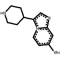 CC(C)(C)c1ccn2c(C3CCNCC3)cnc2c1